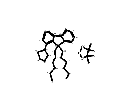 CC1(C)O[B]OC1(C)C.CCCCCCC1(CCCCCC)c2ccccc2-c2cccc(C3CCCC3)c21